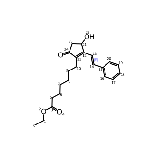 CCOC(=O)CCCCCCC1=C(/C=C/c2ccccc2)C(O)CC1=O